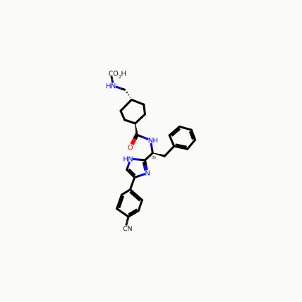 N#Cc1ccc(-c2c[nH]c([C@H](Cc3ccccc3)NC(=O)[C@H]3CC[C@H](CNC(=O)O)CC3)n2)cc1